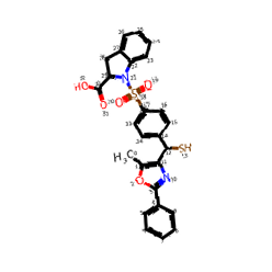 Cc1oc(-c2ccccc2)nc1C(S)c1ccc(S(=O)(=O)N2c3ccccc3CC2C(=O)O)cc1